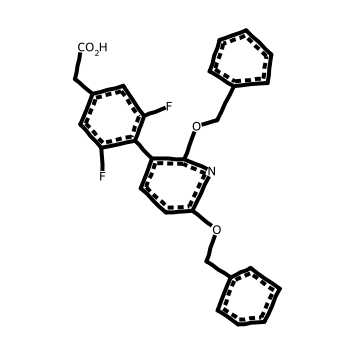 O=C(O)Cc1cc(F)c(-c2ccc(OCc3ccccc3)nc2OCc2ccccc2)c(F)c1